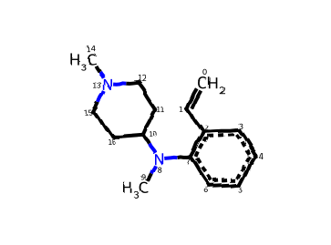 C=Cc1ccccc1N(C)C1CCN(C)CC1